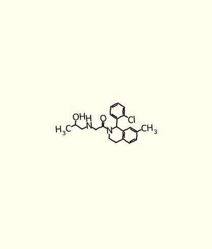 Cc1ccc2c(c1)C(c1ccccc1Cl)N(C(=O)CNCC(C)O)CC2